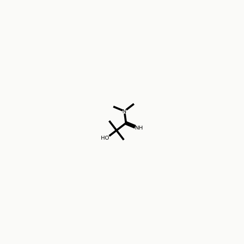 CN(C)C(=N)C(C)(C)O